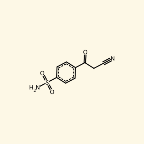 N#CCC(=O)c1ccc(S(N)(=O)=O)cc1